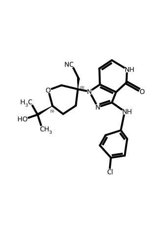 CC(C)(O)[C@@H]1CC[C@@](CC#N)(n2nc(Nc3ccc(Cl)cc3)c3c(=O)[nH]ccc32)CO1